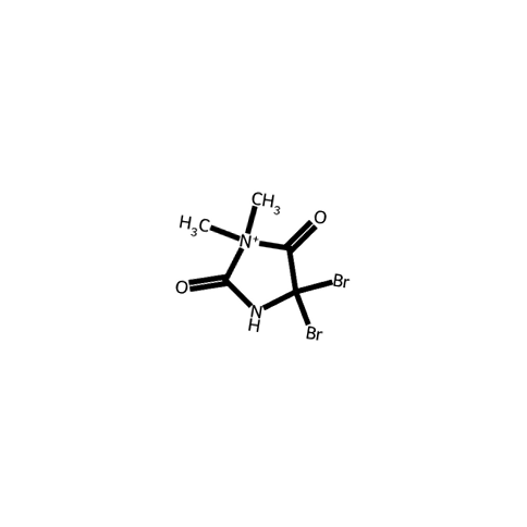 C[N+]1(C)C(=O)NC(Br)(Br)C1=O